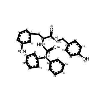 N#Cc1cccc(CC(NC(=O)N(c2ccccc2)c2ccccc2)C(=O)NCc2ccc(O)cc2)c1